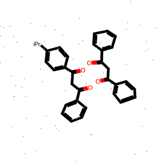 CC(C)c1ccc(C(=O)CC(=O)c2ccccc2)cc1.O=C(CC(=O)c1ccccc1)c1ccccc1